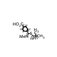 CCCC(C)(C)CSC(NC)c1ccc(C(=O)O)cc1